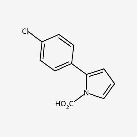 O=C(O)n1cccc1-c1ccc(Cl)cc1